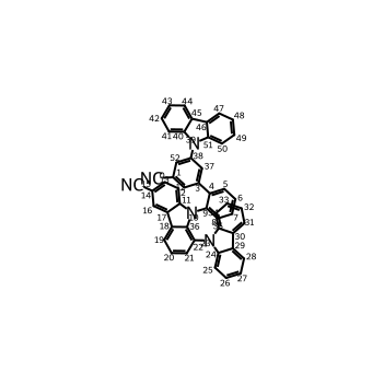 N#Cc1cc(-c2ccccc2-n2c3ccc(C#N)cc3c3cccc(-n4c5ccccc5c5ccccc54)c32)cc(-n2c3ccccc3c3ccccc32)c1